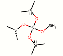 C[SiH](C)O[Si](O[SiH3])(O[SiH](C)C)O[SiH](C)C